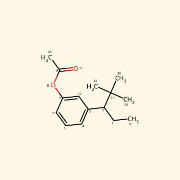 CCC(c1cccc(OC(C)=O)c1)C(C)(C)C